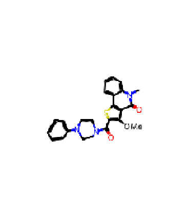 COc1c(C(=O)N2CCN(c3ccccc3)CC2)sc2c1c(=O)n(C)c1ccccc21